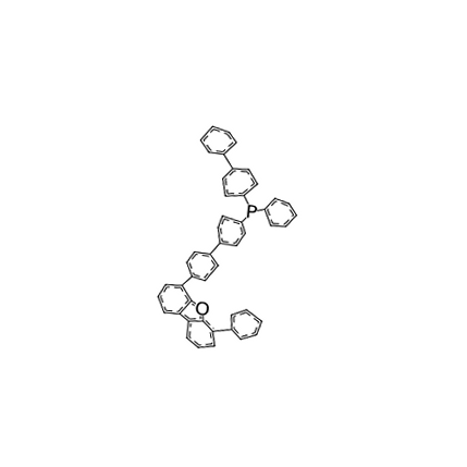 c1ccc(-c2ccc(P(c3ccccc3)c3ccc(-c4ccc(-c5cccc6c5oc5c(-c7ccccc7)cccc56)cc4)cc3)cc2)cc1